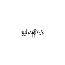 COc1cc(C)c(-c2cccc(C(=O)N(C)C)c2)cc1S(=O)(=O)Nc1cccc(NCCNC(=O)c2cccnc2OC)c1